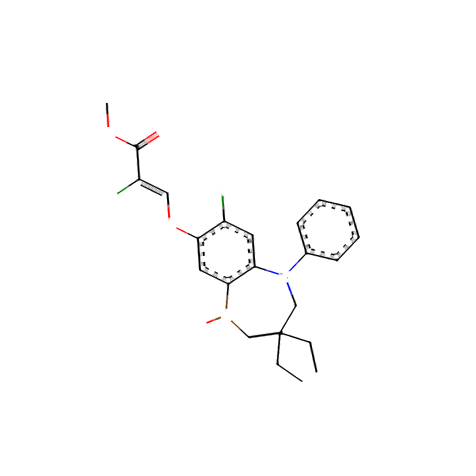 CCC1(CC)CN(c2ccccc2)c2cc(Br)c(O/C=C(\F)C(=O)OC)cc2[S+]([O-])C1